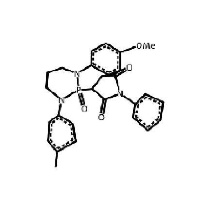 COc1ccc(N2CCCN(c3ccc(C)cc3)P2(=O)C2CC(=O)N(c3ccccc3)C2=O)cc1